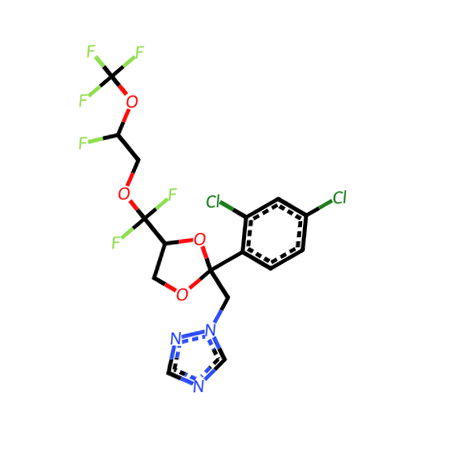 FC(COC(F)(F)C1COC(Cn2cncn2)(c2ccc(Cl)cc2Cl)O1)OC(F)(F)F